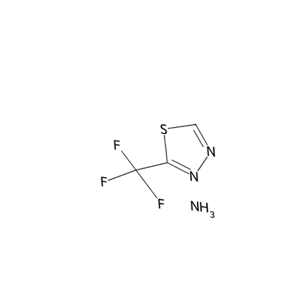 FC(F)(F)c1nncs1.N